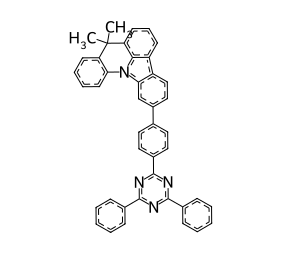 CC1(C)c2ccccc2-n2c3cc(-c4ccc(-c5nc(-c6ccccc6)nc(-c6ccccc6)n5)cc4)ccc3c3cccc1c32